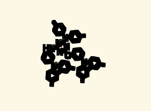 Cc1ccc(N(c2ccc(C)cc2)c2nc(Nc3cccc(-n4c5ccc(C)cc5c5cc(C)ccc54)c3)nc(Oc3cccc(-n4c5ccc(C)cc5c5cc(C)ccc54)c3)n2)cc1